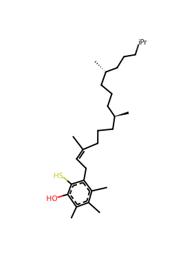 CC(=CCc1c(C)c(C)c(C)c(O)c1S)CCC[C@H](C)CCC[C@H](C)CCCC(C)C